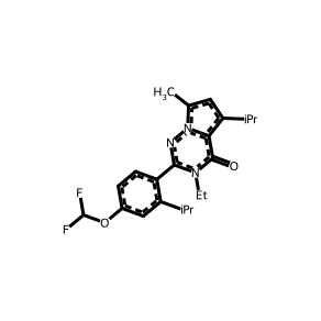 CCn1c(-c2ccc(OC(F)F)cc2C(C)C)nn2c(C)cc(C(C)C)c2c1=O